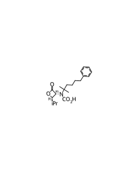 CC(C)[C@H]1OC(=O)[C@@H]1N(C(=O)O)C(C)(C)CCCCc1ccccc1